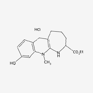 CCOC(=O)C1CCCC2=C(N1)N(C)c1cc(O)ccc1C2.Cl